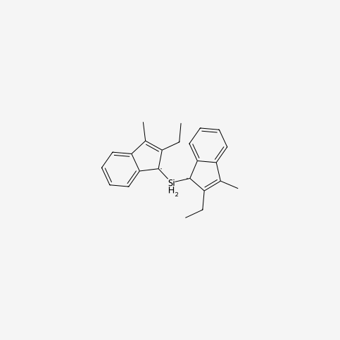 CCC1=C(C)c2ccccc2[C]1[SiH2][C]1C(CC)=C(C)c2ccccc21